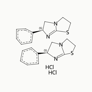 Cl.Cl.c1ccc([C@H]2CN3CCSC3=N2)cc1.c1ccc([C@H]2CN3CCSC3=N2)cc1